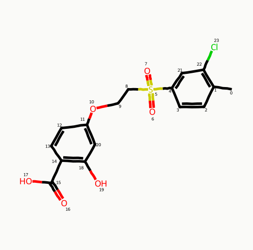 Cc1ccc(S(=O)(=O)CCOc2ccc(C(=O)O)c(O)c2)cc1Cl